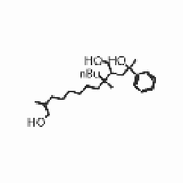 CCCCC(C)(CCCCCCC(C)CO)C(CO)CC(C)(O)c1ccccc1